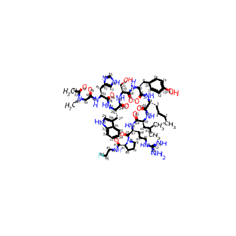 CCCC[C@@H](NC(=O)[C@H](Cc1ccc(O)cc1)NC(=O)[C@H](CO)NC(=O)[C@H](Cc1c[nH]c2ccccc12)NC(=O)[C@H](Cc1c[nH]cn1)NC(=O)CN(C)C(C)=O)C(=O)N[C@@H](CC(C)C)C(=O)N[C@@H](CCCNC(=N)N)C(=O)N1CCC[C@H]1C(=O)NCCF